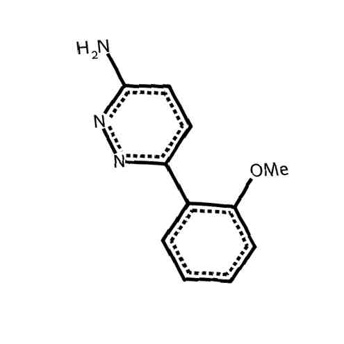 COc1ccccc1-c1ccc(N)nn1